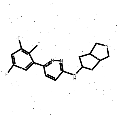 Fc1cc(F)c(F)c(-c2ccc(NC3CC4CNCC4C3)nn2)c1